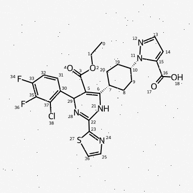 CCOC(=O)C1=C([C@H]2CC[C@@H](n3nccc3C(=O)O)CC2)NC(c2nccs2)=NC1c1ccc(F)c(F)c1Cl